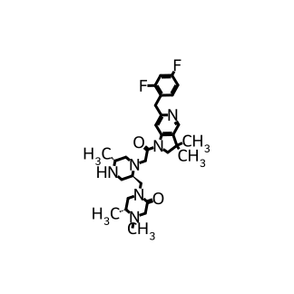 C[C@@H]1CN(CC(=O)N2CC(C)(C)c3cnc(Cc4ccc(F)cc4F)cc32)[C@@H](CN2C[C@@H](C)N(C)CC2=O)CN1